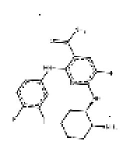 NC(=O)c1cc(F)c(N[C@@H]2CCCC[C@@H]2N)nc1Nc1ccc(F)c(F)c1